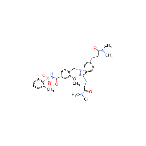 COc1cc(C(=O)NS(=O)(=O)c2ccccc2C)ccc1Cn1cc(CCC(=O)N(C)C)c2ccc(CCC(=O)N(C)C)cc21